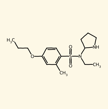 CCCOc1ccc(S(=O)(=O)N(CC)C2CCCN2)c(C)c1